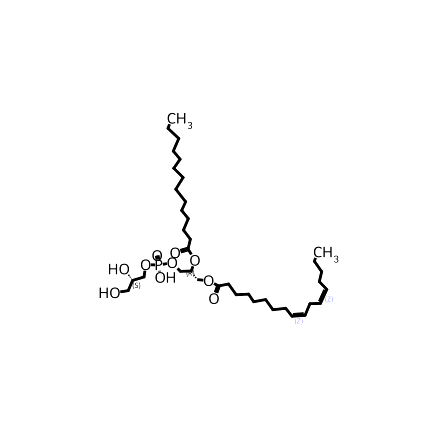 CCCC/C=C\C/C=C\CCCCCCCC(=O)OC[C@H](COP(=O)(O)OC[C@@H](O)CO)OC(=O)CCCCCCCCCCCCC